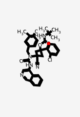 Cc1ccc(CN(C(=O)Nc2cncc3ccccc23)C2(C#N)CC(OC(=O)NC(C)(C)C)(c3ccccc3Cl)C2)cc1C